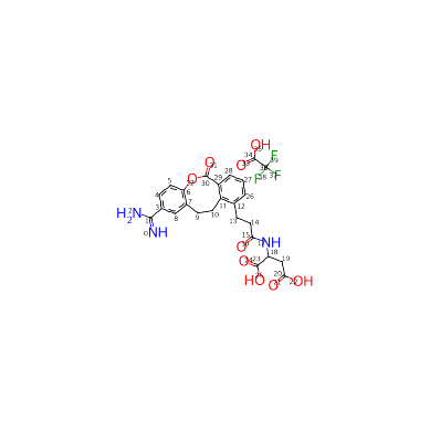 N=C(N)c1ccc2c(c1)CCc1c(CCC(=O)NC(CC(=O)O)C(=O)O)cccc1C(=O)O2.O=C(O)C(F)(F)F